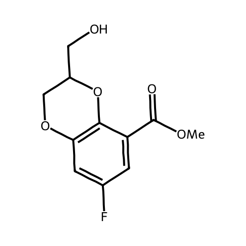 COC(=O)c1cc(F)cc2c1OC(CO)CO2